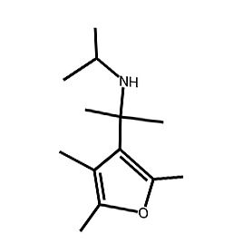 Cc1oc(C)c(C(C)(C)NC(C)C)c1C